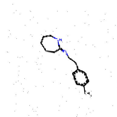 Cc1ccc(CCN=C2CCCCCN2)cc1